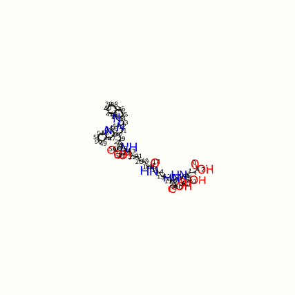 O=C(O)CC[C@H](NC(=O)N[C@@H](CCCCNC(=O)CCCCCCC(=O)N[C@@H](CCCCN(Cc1ccc2ccccc2n1)Cc1ccc2ccccc2n1)C(=O)O)C(=O)O)C(=O)O